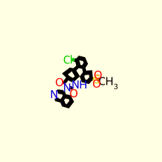 CS(=O)(=O)c1cccc(-c2cccc(Cl)c2-c2ccc3c(=O)n(-c4cncc5ccccc45)c(=O)[nH]c3c2)c1